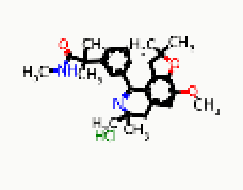 CNC(=O)C(C)(C)c1cccc(C2=NC(C)(C)Cc3cc(OC)c4c(c32)CC(C)(C)O4)c1.Cl